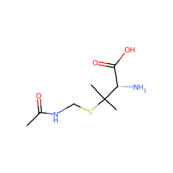 CC(=O)NCSC(C)(C)[C@@H](N)C(=O)O